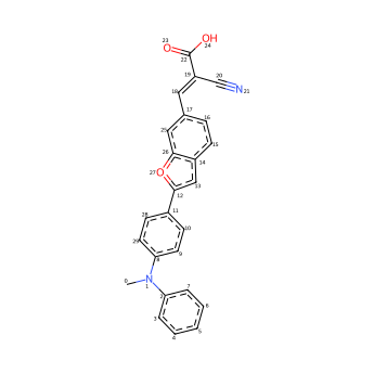 CN(c1ccccc1)c1ccc(-c2cc3ccc(/C=C(\C#N)C(=O)O)cc3o2)cc1